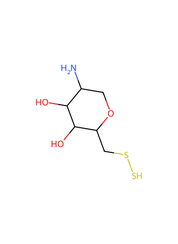 NC1COC(CSS)C(O)C1O